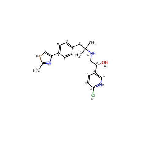 Cc1nc(-c2ccc(CC(C)(C)NC[C@H](O)c3ccc(Cl)nc3)cc2)cs1